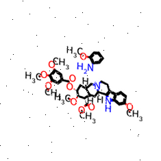 COC(=O)[C@H]1[C@H]2C[C@@H]3c4[nH]c5cc(OC)ccc5c4CCN3C[C@H]2C[C@@H](OC(=O)c2cc(OC)c(OC)c(OC)c2)[C@@H]1OC.COc1ccccc1N